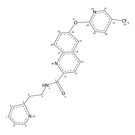 O=C(NCCc1ccccn1)c1ccc2cc(Oc3ccc(C(F)(F)F)cn3)ccc2n1